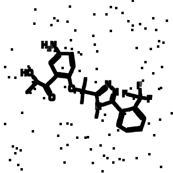 CC(O)C(=O)c1cc(N)ccc1OC(C)(C)c1nnc(-c2ccccc2C(F)(F)F)n1C